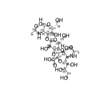 CC(=O)N[C@H]1[C@H]([C@H](O)[C@H](O)CO)O[C@@](O[C@H]2[C@@H](O)[C@@H](CO)O[C@@H](O[C@H]3[C@H](O)[C@@H](CO)OC(O)[C@@H]3NC(C)=O)[C@@H]2O)(C(=O)O)C[C@@H]1O